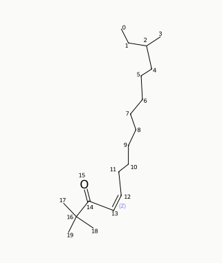 CCC(C)CCCCCCCC/C=C\C(=O)C(C)(C)C